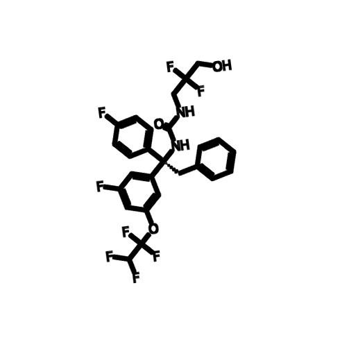 O=C(NCC(F)(F)CO)N[C@](Cc1ccccc1)(c1ccc(F)cc1)c1cc(F)cc(OC(F)(F)C(F)F)c1